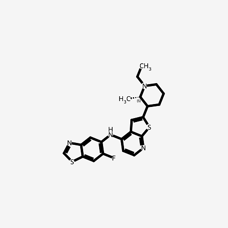 CCN1CCCC(c2cc3c(Nc4cc5ncsc5cc4F)ccnc3s2)[C@@H]1C